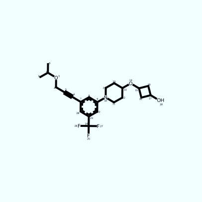 CC(C)OCC#Cc1cc(N2CCC(OC3CC(O)C3)CC2)cc(C(F)(F)F)c1